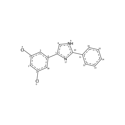 Clc1cc(Cl)cc(-c2c[nH]c(-c3ccccc3)n2)c1